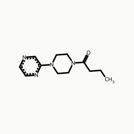 CCCC(=O)N1CCN(c2cnccn2)CC1